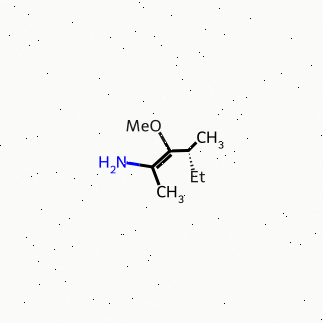 CC[C@@H](C)/C(OC)=C(\C)N